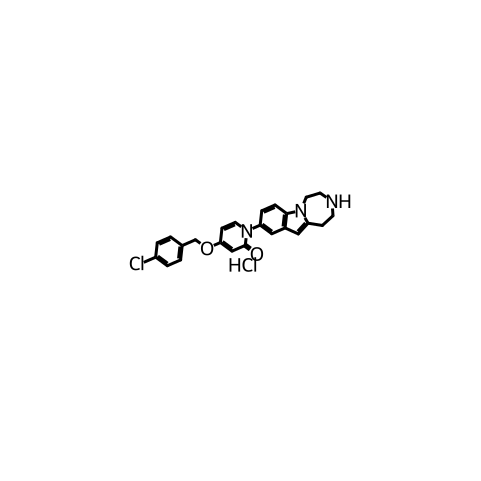 Cl.O=c1cc(OCc2ccc(Cl)cc2)ccn1-c1ccc2c(c1)cc1n2CCNCC1